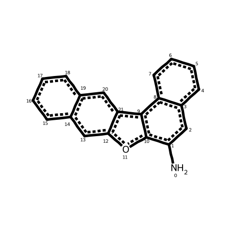 Nc1cc2ccccc2c2c1oc1cc3ccccc3cc12